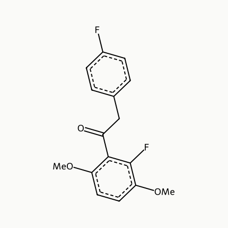 COc1ccc(OC)c(C(=O)Cc2ccc(F)cc2)c1F